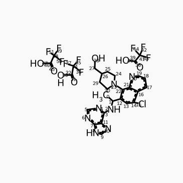 CC(Nc1ncnc2[nH]cnc12)c1cc(Cl)c2cccnc2c1N1CCC(CO)CC1.O=C(O)C(F)(F)F.O=C(O)C(F)(F)F.O=C(O)C(F)(F)F